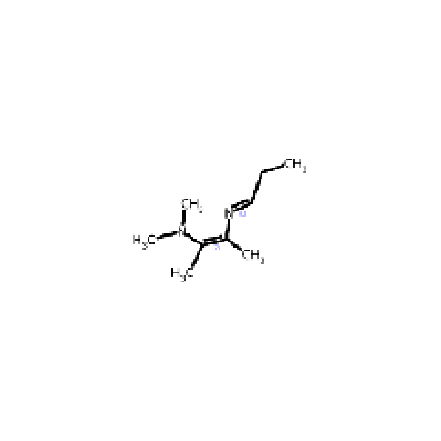 CC/C=N/C(C)=C(/C)N(C)C